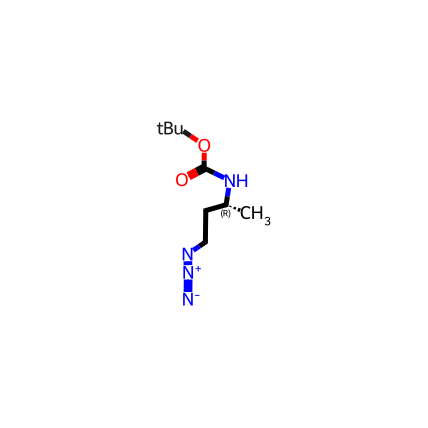 C[C@H](CCN=[N+]=[N-])NC(=O)OC(C)(C)C